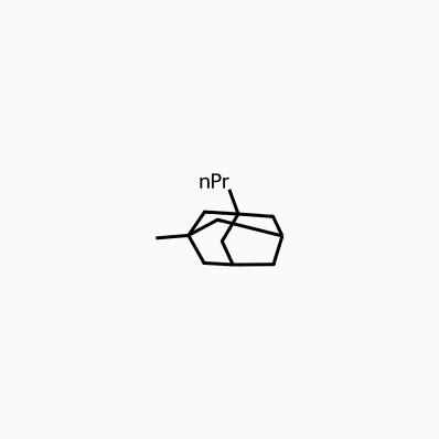 CCCC12CC3CC(CC(C)(C3)C1)C2